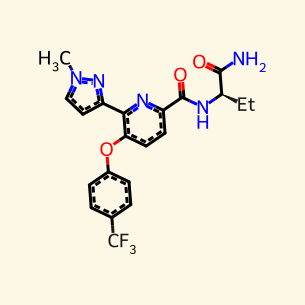 CC[C@@H](NC(=O)c1ccc(Oc2ccc(C(F)(F)F)cc2)c(-c2ccn(C)n2)n1)C(N)=O